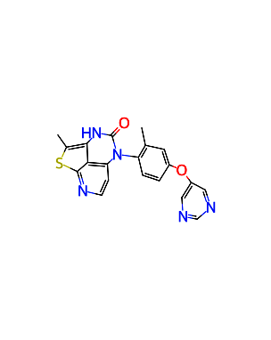 Cc1cc(Oc2cncnc2)ccc1N1C(=O)Nc2c(C)sc3nccc1c23